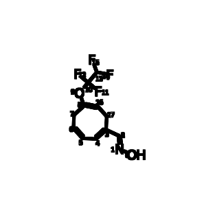 ON=C/C1=C/C=C\C/C(OC(F)(F)C(F)F)=C\C1